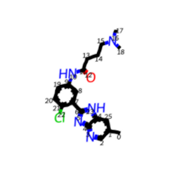 Cc1cnc2nc(-c3cc(NC(=O)CCCN(C)C)ccc3Cl)[nH]c2c1